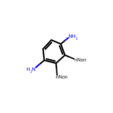 CCCCCCCCCc1c(N)ccc(N)c1CCCCCCCCC